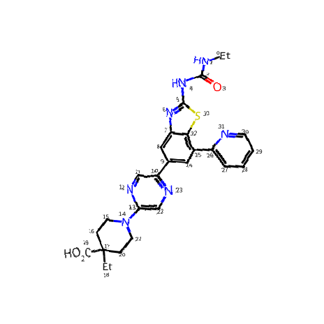 CCNC(=O)Nc1nc2cc(-c3cnc(N4CCC(CC)(C(=O)O)CC4)cn3)cc(-c3ccccn3)c2s1